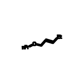 CCC=CCOCCC